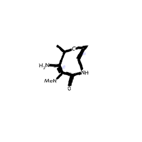 CN/C1=C(\N)C(C)C/C=C/NC1=O